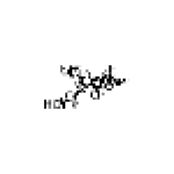 CC(C)NS(=O)(=O)c1ccc(-c2sc(-c3nnc(C(C)(C)O)o3)nc2C(=O)N2CC(F)(F)C[C@@H]2C)c(Cl)c1Cl